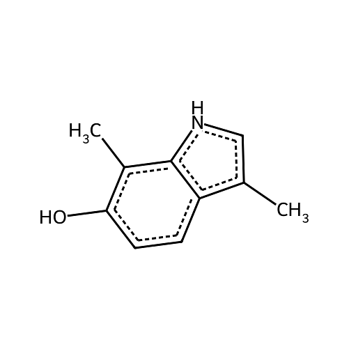 Cc1c[nH]c2c(C)c(O)ccc12